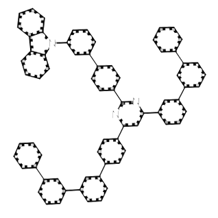 c1ccc(-c2cccc(-c3cccc(-c4ccc(-c5cc(-c6cccc(-c7cccc(-c8ccccc8)c7)c6)nc(-c6ccc(-c7cccc(-n8c9ccccc9c9ccccc98)c7)cc6)n5)cc4)c3)c2)cc1